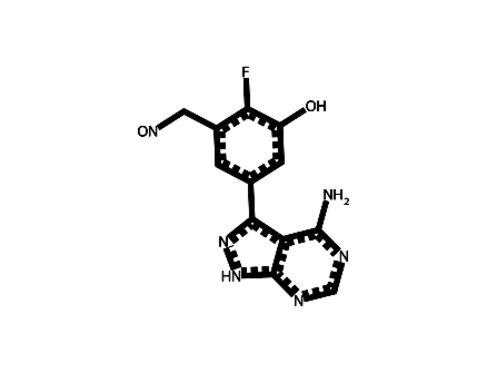 Nc1ncnc2[nH]nc(-c3cc(O)c(F)c(CN=O)c3)c12